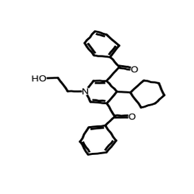 O=C(C1=CN(CCO)C=C(C(=O)c2ccccc2)C1C1CCCCC1)c1ccccc1